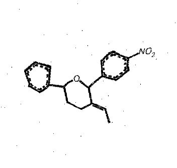 [CH2]C=C1CCC(c2ccccc2)OC1c1ccc([N+](=O)[O-])cc1